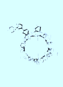 CC[C@H](C)[C@@H]1NC(=O)[C@@H]2CCCN2C(=O)[C@H](Cc2cccc(-c3ccnc(N4CCOCC4)c3)c2)N(C)C(=O)[C@H](Cc2ccccc2)NC(=O)[C@H](C(C)C)N(C)C(=O)[C@@H]([C@@H](C)CC)OC(=O)[C@H](C(C)(C)O)N(C)C(=O)[C@H](CC(C)C)NC(=O)[C@H](C(C)C)N(C)C1=O